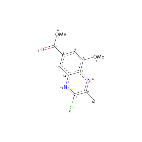 COC(=O)c1cc(OC)c2nc(C)c(Cl)nc2c1